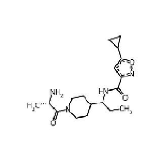 CCC(NC(=O)c1cc(C2CC2)on1)C1CCN(C(=O)[C@H](C)N)CC1